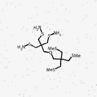 CSCC(COCC(CSN)(CSN)CSN)(CSC)CSC